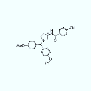 COc1ccc(C(c2ccc(OC(C)C)nc2)N2CC[C@@H](NC(=O)c3ccc(C#N)cc3)C2)cc1